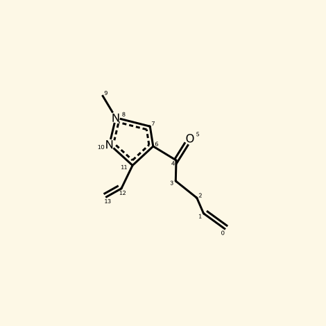 C=CCCC(=O)c1cn(C)nc1C=C